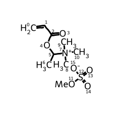 C=CC(=O)OC(C)[N+](C)(C)C.COS(=O)(=O)[O-]